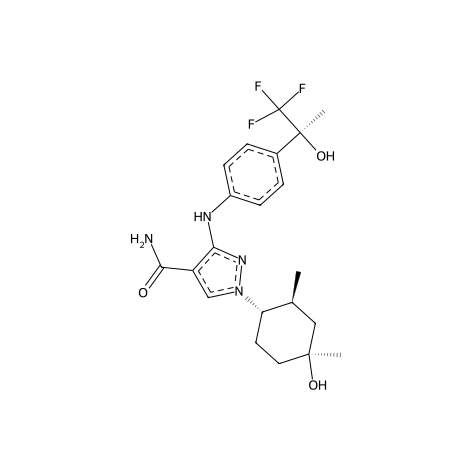 C[C@H]1C[C@@](C)(O)CC[C@@H]1n1cc(C(N)=O)c(Nc2ccc([C@](C)(O)C(F)(F)F)cc2)n1